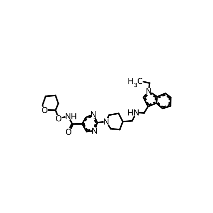 CCn1cc(CNCC2CCN(c3ncc(C(=O)NOC4CCCCO4)cn3)CC2)c2ccccc21